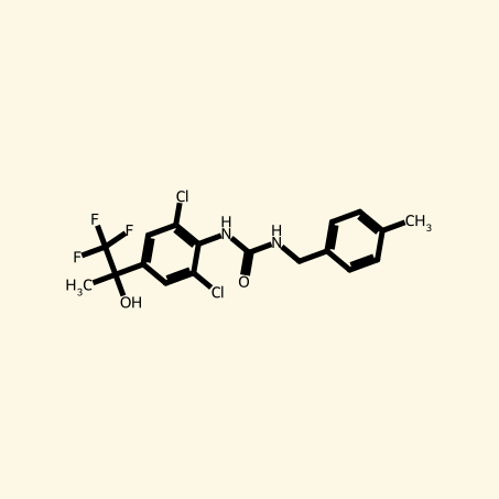 Cc1ccc(CNC(=O)Nc2c(Cl)cc(C(C)(O)C(F)(F)F)cc2Cl)cc1